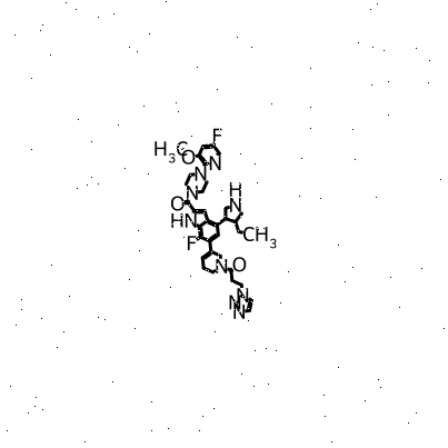 CCC1CNCC1c1cc(C2=CCCN(C(=O)CCn3ccnn3)C2)c(F)c2[nH]c(C(=O)N3CCN(c4ncc(F)cc4OC)CC3)cc12